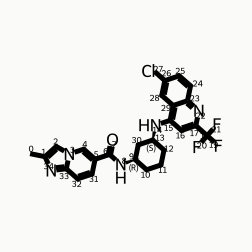 Cc1cn2cc(C(=O)N[C@@H]3CCC[C@H](Nc4cc(C(F)(F)F)nc5ccc(Cl)cc45)C3)ccc2n1